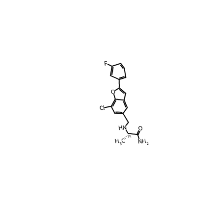 C[C@H](NCc1cc(Cl)c2oc(-c3cccc(F)c3)cc2c1)C(N)=O